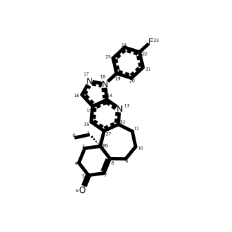 CC[C@@]12CCC(=O)C=C1CCCc1nc3c(cnn3-c3ccc(F)cc3)cc12